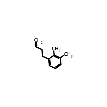 [CH2]c1c(C)cccc1CCC=C